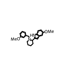 COc1cccc(CN2CCCCC2c2cc3cc(OC)ccc3[nH]2)c1